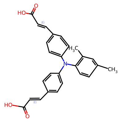 Cc1ccc(N(c2ccc(/C=C/C(=O)O)cc2)c2ccc(/C=C/C(=O)O)cc2)c(C)c1